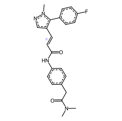 CN(C)C(=O)Cc1ccc(NC(=O)/C=C/c2cnn(C)c2-c2ccc(F)cc2)cc1